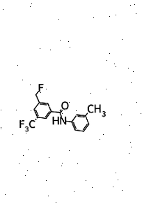 Cc1cccc(NC(=O)c2cc(CF)cc(C(F)(F)F)c2)c1